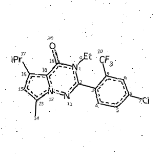 CCn1c(-c2ccc(Cl)cc2C(F)(F)F)nn2c(C)cc(C(C)C)c2c1=O